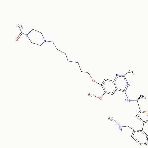 CNCc1ccccc1-c1csc([C@H](C)Nc2nc(C)nc3cc(OCCCCCCCN4CCN(C(C)=O)CC4)c(OC)cc23)c1